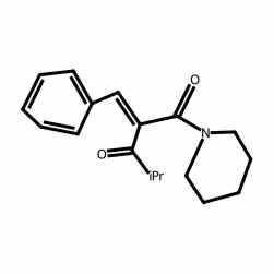 CC(C)C(=O)/C(=C\c1ccccc1)C(=O)N1CCCCC1